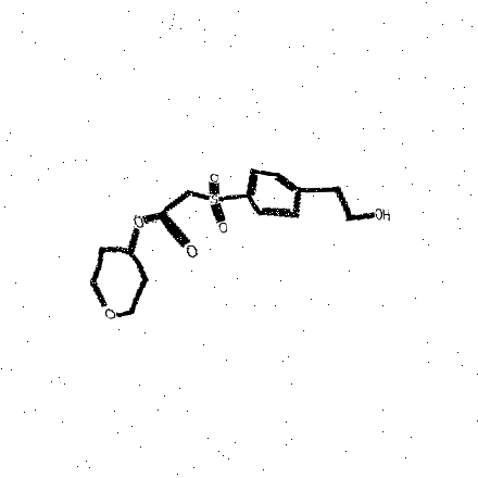 O=C(CS(=O)(=O)c1ccc(CCO)cc1)OC1CCOCC1